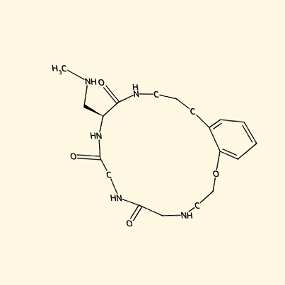 CNC[C@@H]1NC(=O)CNC(=O)CNCCOc2ccccc2CCCNC1=O